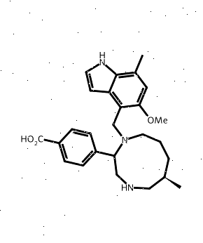 COc1cc(C)c2[nH]ccc2c1CN1CCC[C@@H](C)CNCC1c1ccc(C(=O)O)cc1